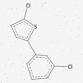 Clc1[c]ccc(-c2ccc(Cl)s2)c1